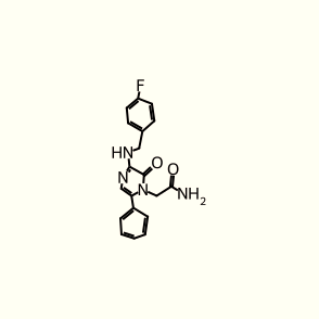 NC(=O)Cn1c(-c2ccccc2)cnc(NCc2ccc(F)cc2)c1=O